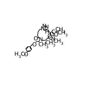 COc1ccc(COCC(C)N2CC(C)C(CN(C)C(=O)OC(C)(C)C)OCc3cn(nn3)CCCC2=O)cc1